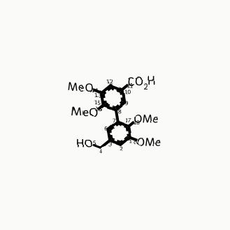 COc1cc(CO)cc(-c2cc(C(=O)O)cc(OC)c2OC)c1OC